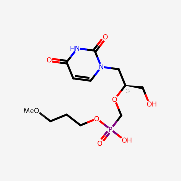 COCCCOP(=O)(O)CO[C@H](CO)Cn1ccc(=O)[nH]c1=O